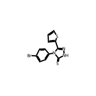 S=c1[nH]nc(-c2cccs2)n1-c1ccc(Br)cc1